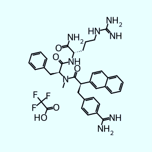 CN(C(=O)[C@H](Cc1ccc(C(=N)N)cc1)c1ccc2ccccc2c1)[C@@H](Cc1ccccc1)C(=O)N[C@@H](CCCNC(=N)N)C(N)=O.O=C(O)C(F)(F)F